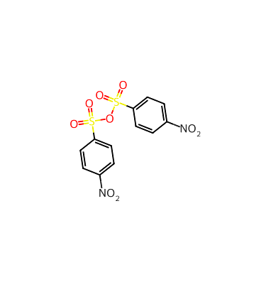 O=[N+]([O-])c1ccc(S(=O)(=O)OS(=O)(=O)c2ccc([N+](=O)[O-])cc2)cc1